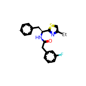 CCc1csc([C@H](Cc2cc[c]cc2)NC(=O)Cc2cccc(F)c2)n1